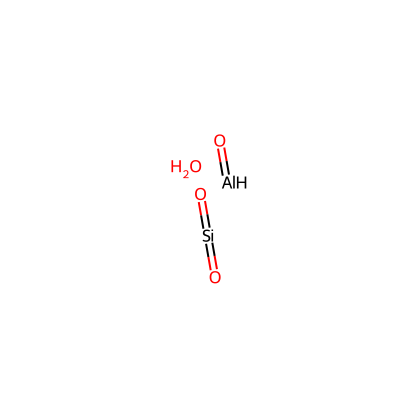 O.O=[Si]=O.[O]=[AlH]